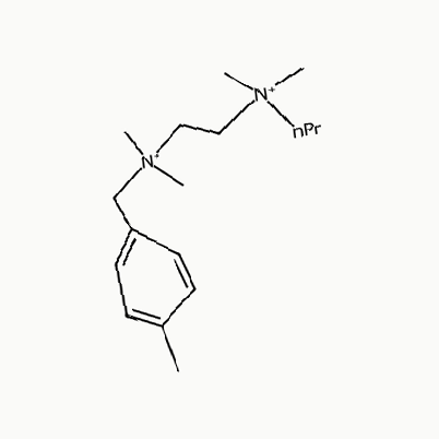 CCC[N+](C)(C)CC[N+](C)(C)Cc1ccc(C)cc1